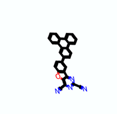 N#Cc1nc(C#N)c2oc3ccc(-c4ccc5c6ccccc6c6ccccc6c5c4)cc3c2n1